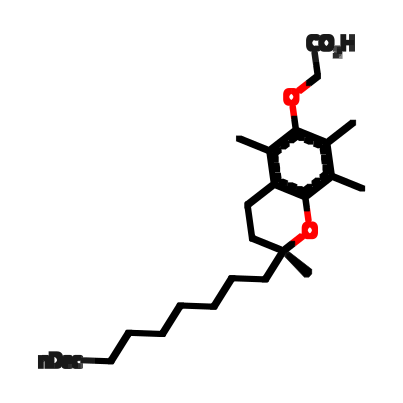 CCCCCCCCCCCCCCCCC[C@]1(C)CCc2c(C)c(OCC(=O)O)c(C)c(C)c2O1